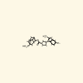 Cc1nc2cc(F)ccc2n1[C@H]1CCN(C(=O)OC2C3CC4CC2CC(C(=O)O)(C4)C3)C1